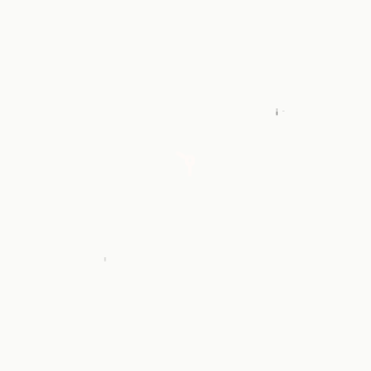 CC(C)C(C)CCCC(C)C(C)OC(C)C(C)CCCC(C)C(C)C